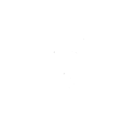 CC(S)CC(NC(=O)c1cc(C(=O)NCC(=O)O)cc(C(=O)NC(CS)C(=O)O)c1)C(=O)O